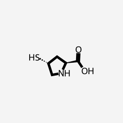 O=C(O)[C@@H]1C[C@@H](S)CN1